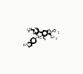 Cc1c2ccc(-c3cnc(N)nc3N(C)C3CCC4(CCNC4)CC3)cc2nn1C